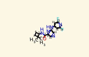 CC1(C)CCC1NC(=O)c1cncc(Nc2cc(F)nc(F)c2)n1